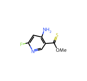 COC(=S)c1cnc(F)cc1N